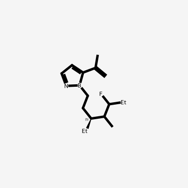 C=C(C)C1=CC=NB1CC[C@H](CC)C(C)C(F)CC